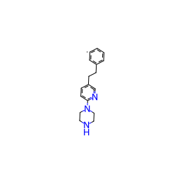 [c]1cccc(CCc2ccc(N3CCNCC3)nc2)c1